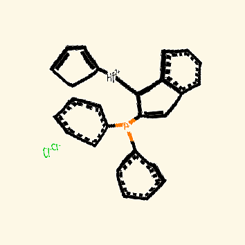 C1=CC[C]([Hf+2][CH]2C(P(c3ccccc3)c3ccccc3)=Cc3ccccc32)=C1.[Cl-].[Cl-]